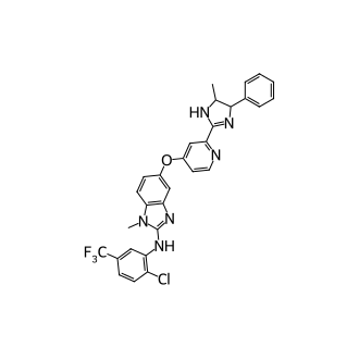 CC1NC(c2cc(Oc3ccc4c(c3)nc(Nc3cc(C(F)(F)F)ccc3Cl)n4C)ccn2)=NC1c1ccccc1